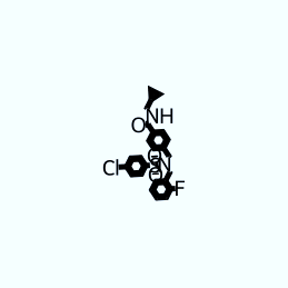 O=C(NCC1CC1)c1ccc(CN(Cc2ccccc2F)S(=O)(=O)c2ccc(Cl)cc2)cc1